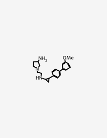 COc1cccc(-c2ccc(C3CC3NCCN3CCC(N)C3)cc2)c1